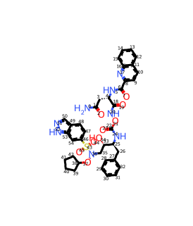 NC(=O)C[C@H](NC(=O)c1ccc2ccccc2n1)C(=O)NOC(=O)N[C@@H](Cc1ccccc1)[C@@H](O)CN(OC1CCCC1)S(=O)(=O)c1ccc2cn[nH]c2c1